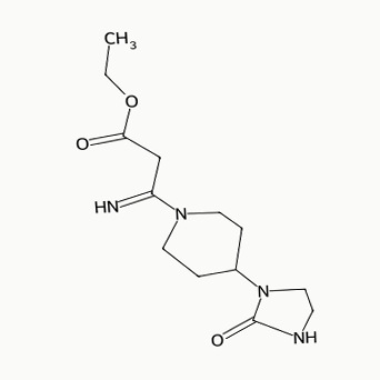 CCOC(=O)CC(=N)N1CCC(N2CCNC2=O)CC1